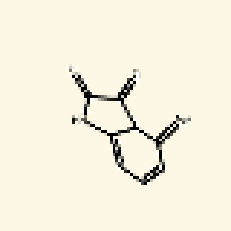 N=C1C=CC=C2NC(=O)C(=O)C12